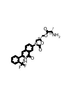 C[C@H](N)C(=O)OC[C@H]1CN(c2ccc3cc(-c4ccccc4C(F)(F)F)[nH]c(=O)c3c2)C(=O)O1